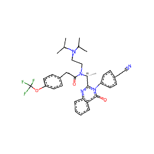 CC(C)N(CCN(C(=O)Cc1ccc(OC(F)(F)F)cc1)[C@H](C)c1nc2ccccc2c(=O)n1-c1ccc(C#N)cc1)C(C)C